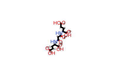 O=C(O)CCC(NC(=O)CC(=O)NC(CCC(=O)O)C(=O)O)C(=O)O